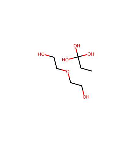 CCC(O)(O)O.OCCOCCO